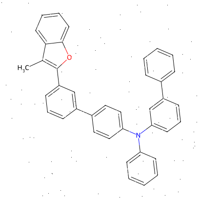 Cc1c(-c2cccc(-c3ccc(N(c4ccccc4)c4cccc(-c5ccccc5)c4)cc3)c2)oc2ccccc12